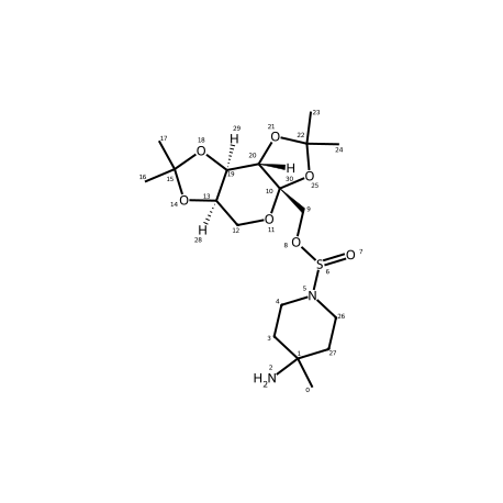 CC1(N)CCN(S(=O)OC[C@@]23OC[C@H]4OC(C)(C)O[C@H]4[C@@H]2OC(C)(C)O3)CC1